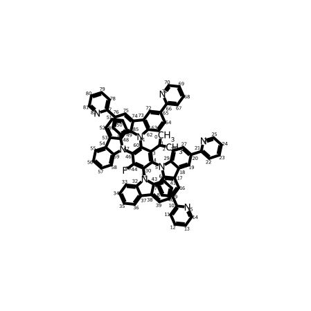 CC(C)c1c(-n2c3ccc(-c4ccccn4)cc3c3cc(-c4ccccn4)ccc32)c(-n2c3ccccc3c3ccccc32)c(F)c(-n2c3ccccc3c3ccccc32)c1-n1c2ccc(-c3ccccn3)cc2c2cc(-c3ccccn3)ccc21